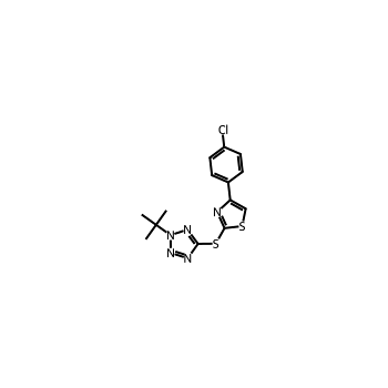 CC(C)(C)n1nnc(Sc2nc(-c3ccc(Cl)cc3)cs2)n1